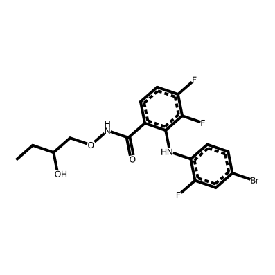 CCC(O)CONC(=O)c1ccc(F)c(F)c1Nc1ccc(Br)cc1F